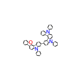 c1ccc(-n2c3cc(-c4ccc5c(c4)c4c6c7ccccc7n(-c7ccccc7)c6ccc4n5-c4ccccc4)ccc3c3c4oc5ccccc5c4ccc32)cc1